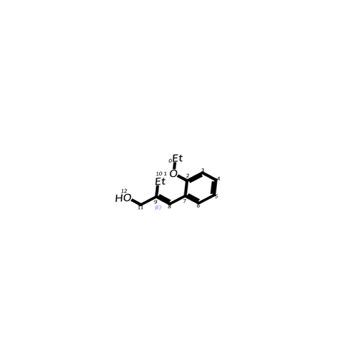 CCOc1ccccc1/C=C(\CC)CO